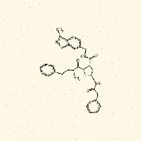 Cn1nnc2cc(CNC(=O)C3CC(NC(=O)Cc4ccccc4)CN3C(=O)C(N)CCc3ccccc3)ccc21